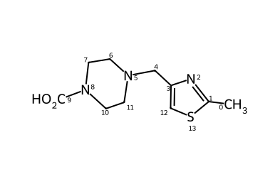 Cc1nc(CN2CCN(C(=O)O)CC2)cs1